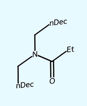 CCCCCCCCCCCN(CCCCCCCCCCC)C(=O)CC